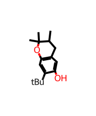 CC1Cc2cc(O)c(C(C)(C)C)cc2OC1(C)C